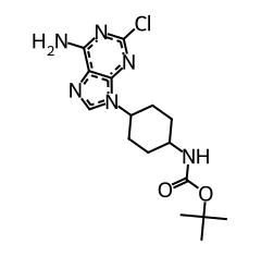 CC(C)(C)OC(=O)NC1CCC(n2cnc3c(N)nc(Cl)nc32)CC1